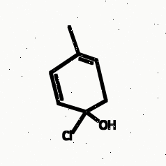 CC1=CCC(O)(Cl)C=C1